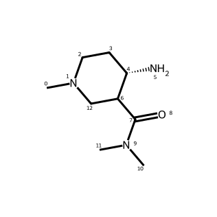 CN1CC[C@H](N)C(C(=O)N(C)C)C1